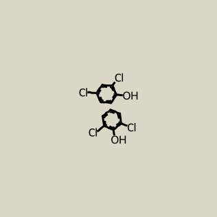 Oc1c(Cl)cccc1Cl.Oc1ccc(Cl)cc1Cl